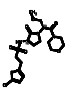 COC[C@@H](C(=O)N1CCOCC1)N1CC[C@H](NS(=O)(=O)CCc2ccc(Cl)s2)C1=O